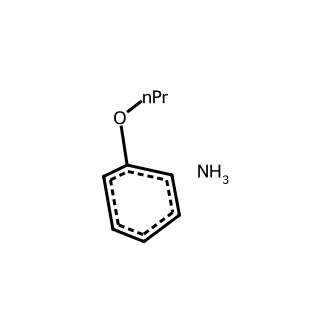 CCCOc1ccccc1.N